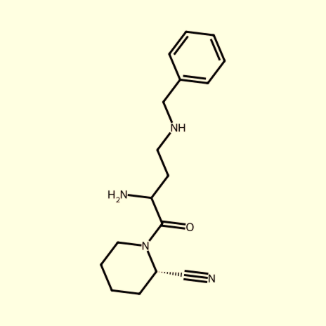 N#C[C@@H]1CCCCN1C(=O)C(N)CCNCc1ccccc1